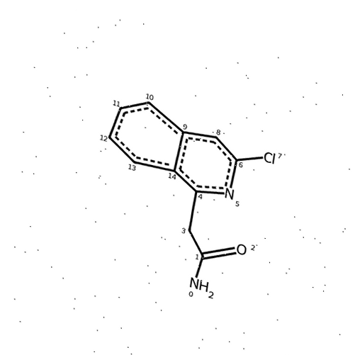 NC(=O)Cc1nc(Cl)cc2ccccc12